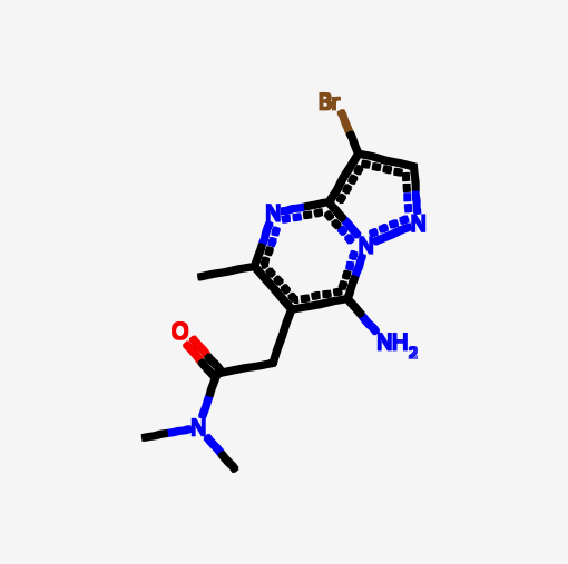 Cc1nc2c(Br)cnn2c(N)c1CC(=O)N(C)C